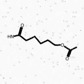 CC(=O)OCCCCCC([NH])=O